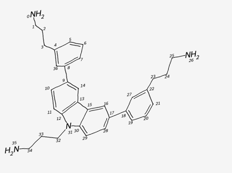 NCCCc1cccc(-c2ccc3c(c2)c2cc(-c4cccc(CCCN)c4)ccc2n3CCCN)c1